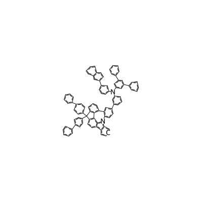 c1ccc(-c2ccc(C3(c4ccc(-c5ccccc5)cc4)c4cccc5c4-c4c3ccc3c6ccccc6n(c43)-c3ccc(-c4cccc(N(c6cccc(-c7ccc8ccccc8c7)c6)c6cc(-c7ccccc7)cc(-c7ccccc7)c6)c4)cc3-5)cc2)cc1